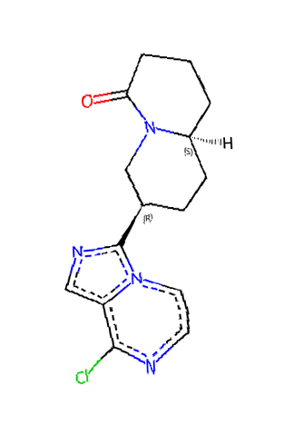 O=C1CCC[C@H]2CC[C@@H](c3ncc4c(Cl)nccn34)CN12